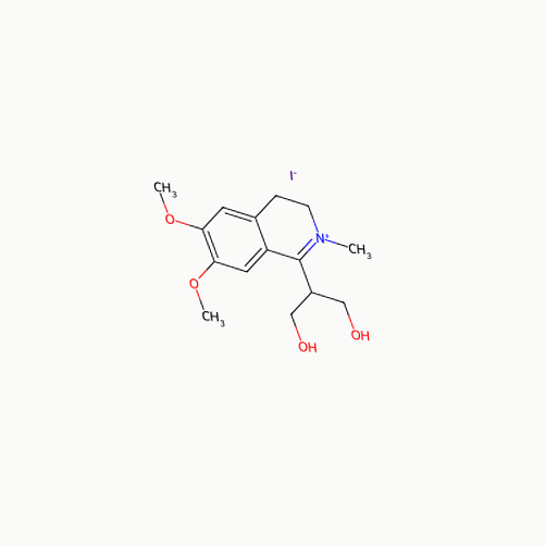 COc1cc2c(cc1OC)C(C(CO)CO)=[N+](C)CC2.[I-]